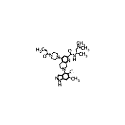 C=CC(=O)N1CCN(c2cc(C(=O)NC(C)CN(C)C)nc3c2CCN(c2c(Cl)c(C)cc4[nH]ncc24)C3)CC1